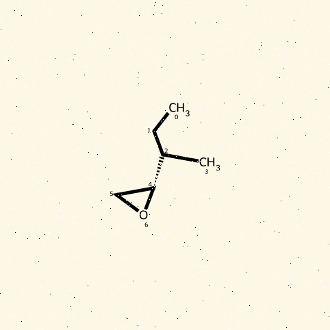 CCC(C)[C@H]1CO1